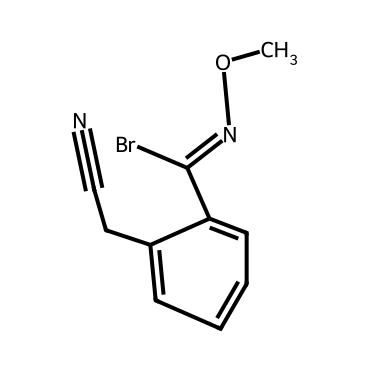 CON=C(Br)c1ccccc1CC#N